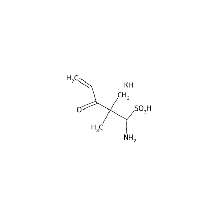 C=CC(=O)C(C)(C)C(N)S(=O)(=O)O.[KH]